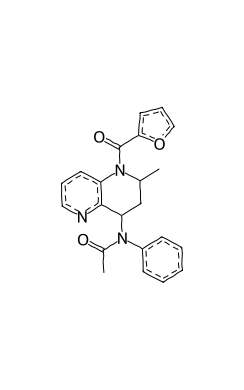 CC(=O)N(c1ccccc1)C1CC(C)N(C(=O)c2ccco2)c2cccnc21